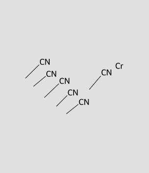 CC#N.CC#N.CC#N.CC#N.CC#N.CC#N.[Cr]